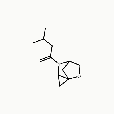 C=C(CC(C)C)N1C2COC3(C2)CC13